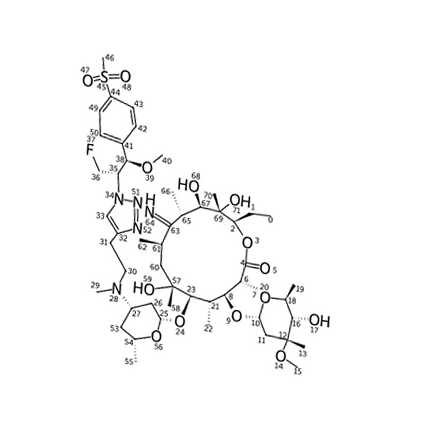 CC[C@H]1OC(=O)[C@H](C)[C@@H](O[C@H]2C[C@@](C)(OC)[C@@H](O)[C@H](C)O2)[C@H](C)[C@@H](O[C@H]2C[C@@H](N(C)CCc3cn([C@H](CF)[C@H](OC)c4ccc(S(C)(=O)=O)cc4)nn3)C[C@@H](C)O2)[C@](C)(O)C[C@@H](C)C(=N)[C@H](C)[C@@H](O)[C@]1(C)O